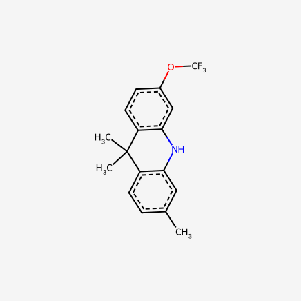 Cc1ccc2c(c1)Nc1cc(OC(F)(F)F)ccc1C2(C)C